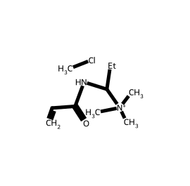 C=CC(=O)NC(CC)[N+](C)(C)C.CCl